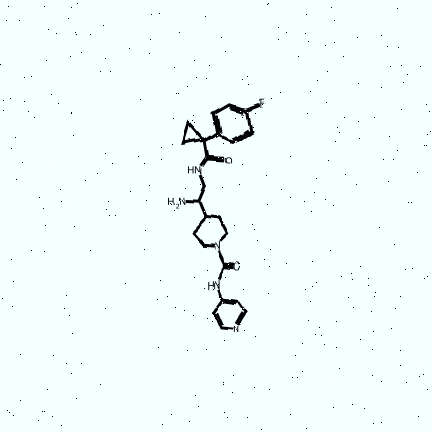 NC(CNC(=O)C1(c2ccc(F)cc2)CC1)C1CCN(C(=O)Nc2ccncc2)CC1